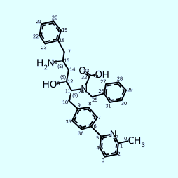 Cc1cccc(-c2ccc(C[C@@H]([C@@H](O)C[C@@H](N)Cc3ccccc3)N(Cc3ccccc3)C(=O)O)cc2)n1